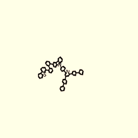 c1ccc(-c2ccc(-c3cc(-c4ccc(-c5ccccc5)cc4)nc(-c4ccc(-n5c6ccccc6c6cc(-c7ccccc7-c7ccccc7-c7cccc8c7sc7ccccc78)ccc65)cc4)c3)cc2)cc1